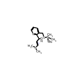 CN(C)/C=C/C(O)c1ncccc1CO[Si](C)(C)C(C)(C)C